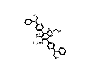 C=Nc1c(N=C)c(-c2ccc(N(CC(C)C)c3ccccc3)cc2)c2nn(CC(C)C)nc2c1-c1ccc(N(CC(C)C)c2ccccc2)cc1